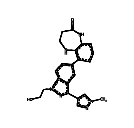 Cn1cc(-c2nn(CCO)c3ccc(-c4cccc5c4NCCC(=O)N5)cc23)cn1